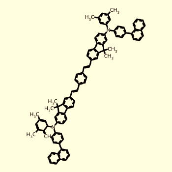 C=C1C(C)=CC(C)=CC1N(c1ccc(-c2cccc3ccccc23)cc1)c1ccc2c(c1)C(C)(C)c1cc(/C=C/c3ccc(/C=C/c4ccc5c(c4)C(C)(C)c4cc(N(c6ccc(-c7cccc8ccccc78)cc6)c6cc(C)cc(C)c6)ccc4-5)cc3)ccc1-2